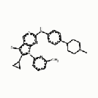 CN1CCC(c2ccc(Nc3ncc4c(F)c(C5CC5)n(-c5cccc(N)n5)c4n3)cc2)CC1